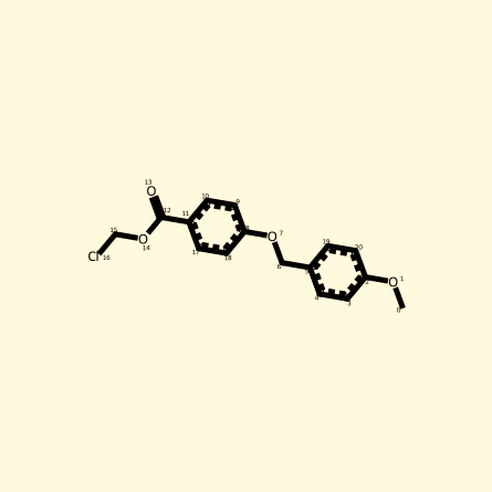 COc1ccc(COc2ccc(C(=O)OCCl)cc2)cc1